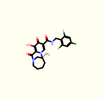 C[C@]12CCCCN(C1)C(=O)c1c(O)c(=O)c(C(=O)NCc3c(F)cc(F)cc3F)cn12